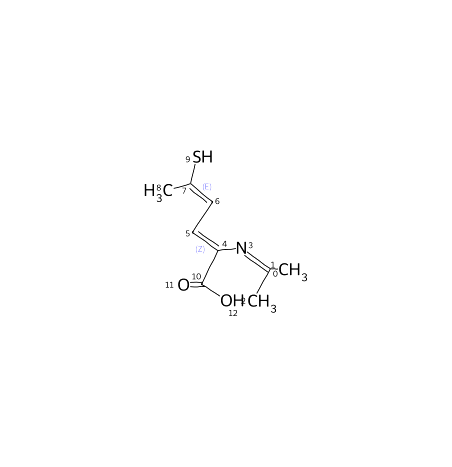 CC(C)=N/C(=C\C=C(/C)S)C(=O)O